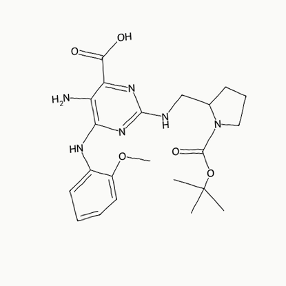 COc1ccccc1Nc1nc(NCC2CCCN2C(=O)OC(C)(C)C)nc(C(=O)O)c1N